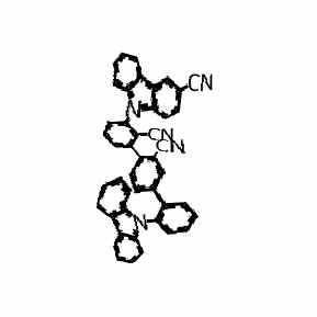 N#Cc1ccc2c(c1)c1ccccc1n2-c1cccc(-c2ccc(-c3ccccc3-n3c4ccccc4c4ccccc43)cc2C#N)c1C#N